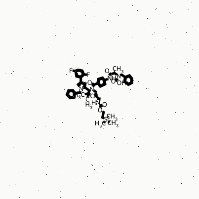 C[C@@H](C(=O)Nc1ccc(C(=O)N(CCCNC(=O)OCC[Si](C)(C)C)[C@@H](c2cc(-c3cc(F)ccc3F)cn2Cc2ccccc2)C(C)(C)C)cc1)N(Cc1ccccc1)C(=O)O